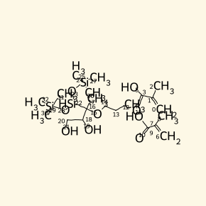 C=C(C)C(=O)O.C=C(C)C(=O)O.CCCOC(C)(C(O)CO)[SiH](O[Si](C)(C)C)O[Si](C)(C)C